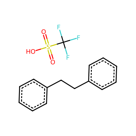 O=S(=O)(O)C(F)(F)F.c1ccc(CCc2ccccc2)cc1